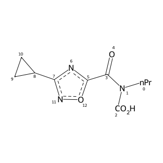 CCCN(C(=O)O)C(=O)c1nc(C2CC2)no1